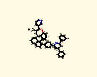 CC1=C(c2cccnc2)Oc2cccc(-c3c(-c4ccc(-c5cc(-c6ccccc6)cc(-c6ccccc6)n5)cc4)ccc4ccccc34)c2CC1